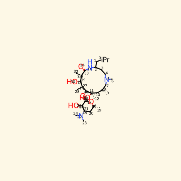 CC(C)CC1CCN(C)C[C@H](C)C[C@@](C)(O)[C@H](O[C@@H]2O[C@H](C)C[C@H](N(C)C)[C@H]2O)[C@@H](C)[C@H](O)[C@@H](C)C(=O)N1